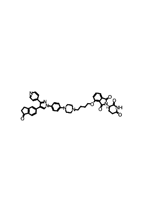 O=C1CC[C@H](N2C(=O)c3cccc(OCCCCN4CCN(c5ccc(-n6cc(-c7ccc8c(c7)CCC8=O)c(-c7ccncc7)n6)cc5)CC4)c3C2=O)C(=O)N1